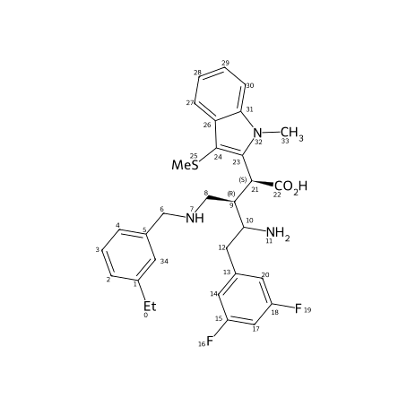 CCc1cccc(CNC[C@H](C(N)Cc2cc(F)cc(F)c2)[C@H](C(=O)O)c2c(SC)c3ccccc3n2C)c1